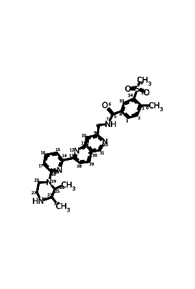 Cc1ccc(C(=O)NCc2cc3nc(-c4cccc(N5CCNC(C)C5C)n4)ccc3cn2)cc1S(C)(=O)=O